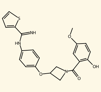 COc1ccc(O)c(C(=O)N2CC(Oc3ccc(NC(=N)c4cccs4)cc3)C2)c1